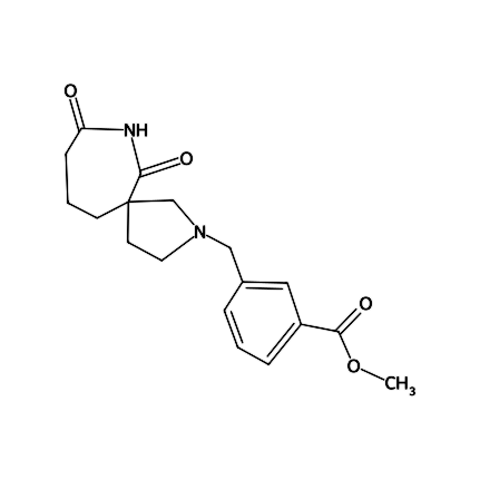 COC(=O)c1cccc(CN2CCC3(CCCC(=O)NC3=O)C2)c1